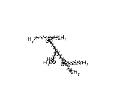 CCCCCCCCC(CCCCCC)C(=O)OCCCCCCN(CCCCCCOC(=O)C(CCCCCC)CCCCCCCC)CCCCNC(C)=O